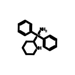 N[N+](c1ccccc1)(c1ccccc1)C1CCCCN1